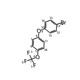 FC(F)(F)Oc1ccc(Oc2ccc(Br)cc2)cc1